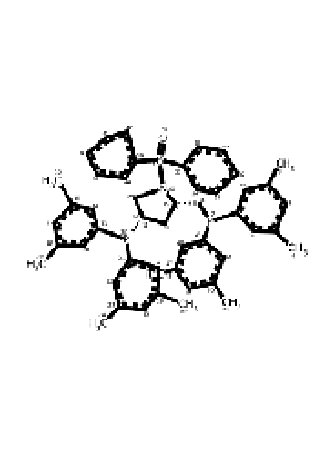 Cc1cc(C)cc(P(C[C@@H]2C[C@H](P(c3cc(C)cc(C)c3)c3cc(C)cc(C)c3)CN2P(=O)(c2ccccc2)c2ccccc2)c2cc(C)cc(C)c2)c1